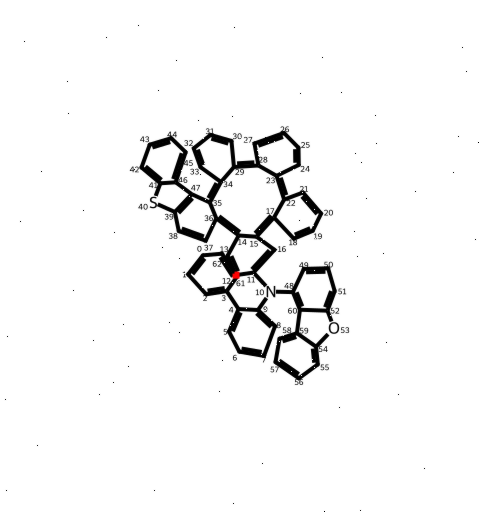 c1ccc(-c2ccccc2N(c2ccc3c(c2)c2ccccc2c2ccccc2c2ccccc2c2c3ccc3sc4ccccc4c32)c2cccc3oc4ccccc4c23)cc1